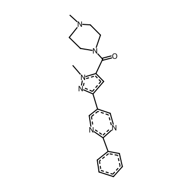 CN1CCN(C(=O)c2cc(-c3cnc(-c4ccccc4)nc3)nn2C)CC1